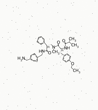 CCOc1ccc(C[C@@H](NC(=O)C(C)C)C(=O)N(C)C[C@H](C(=O)NCc2ccc(CN)cc2)c2ccccc2)cc1